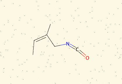 CC=C(C)CN=C=O